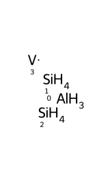 [AlH3].[SiH4].[SiH4].[V]